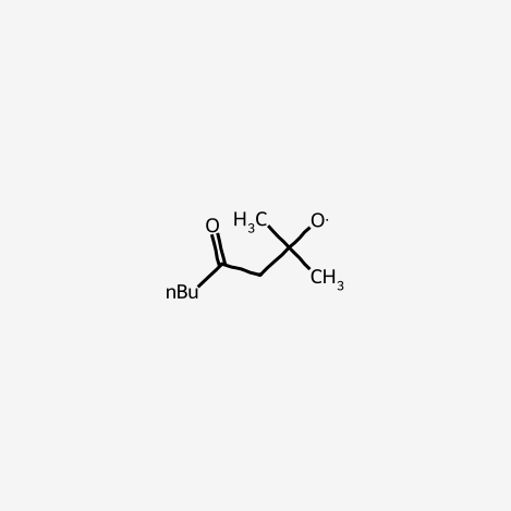 CCCCC(=O)CC(C)(C)[O]